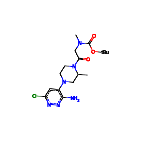 CC1CN(c2cc(Cl)nnc2N)CCN1C(=O)CN(C)C(=O)OC(C)(C)C